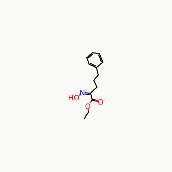 CCOC(=O)C(CCCc1ccccc1)=NO